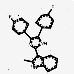 Cc1[nH]c2ccccc2c1-c1nc(-c2ccc(F)cc2)c(-c2ccc(F)cc2)[nH]1